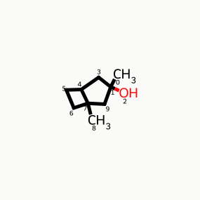 CC1(O)CC2CCC2(C)C1